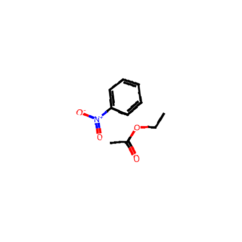 CCOC(C)=O.O=[N+]([O-])c1ccccc1